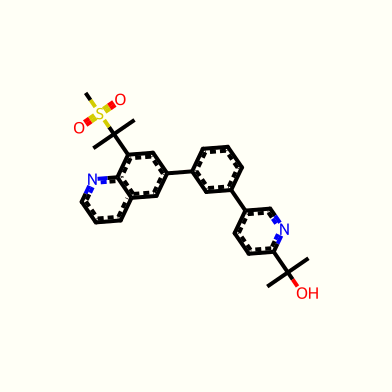 CC(C)(O)c1ccc(-c2cccc(-c3cc(C(C)(C)S(C)(=O)=O)c4ncccc4c3)c2)cn1